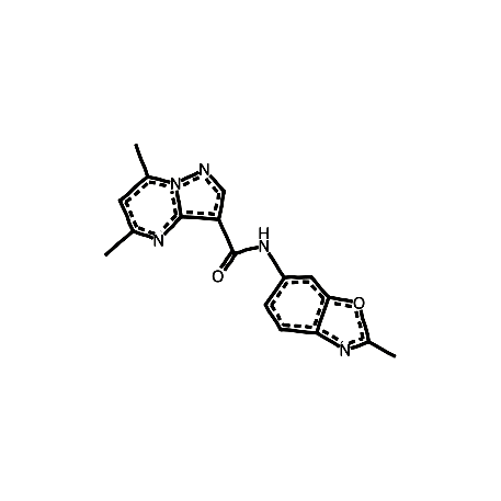 Cc1cc(C)n2ncc(C(=O)Nc3ccc4nc(C)oc4c3)c2n1